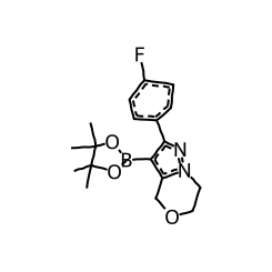 CC1(C)OB(c2c(-c3ccc(F)cc3)nn3c2COCC3)OC1(C)C